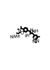 CNC(C)C(=O)N(C)C(C)c1ccc(-c2n[nH]c(-c3cc(C)c4ncnn4c3)c2C(C)C)cc1